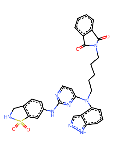 O=C1c2ccccc2C(=O)N1CCCCCN(c1ccnc(Nc2ccc3c(c2)S(=O)(=O)NC3)n1)c1cccc2[nH]ncc12